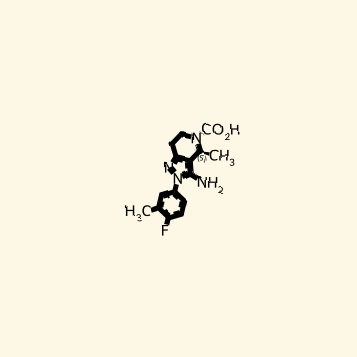 Cc1cc(-n2nc3c(c2N)[C@H](C)N(C(=O)O)CC3)ccc1F